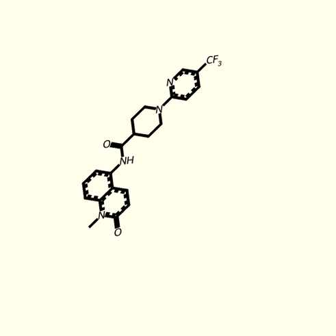 Cn1c(=O)ccc2c(NC(=O)C3CCN(c4ccc(C(F)(F)F)cn4)CC3)cccc21